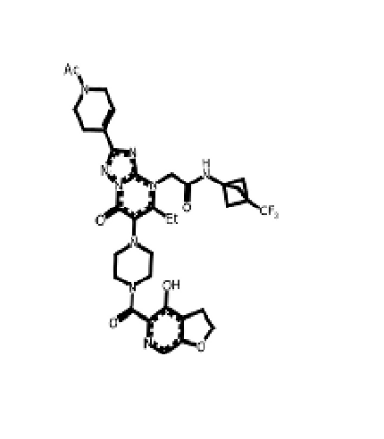 CCc1c(N2CCN(C(=O)c3ncc4c(c3O)CCO4)CC2)c(=O)n2nc(C3=CCN(C(C)=O)CC3)nc2n1CC(=O)NC12CC(C(F)(F)F)(C1)C2